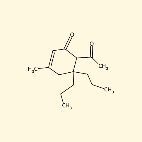 CCCC1(CCC)CC(C)=CC(=O)C1C(C)=O